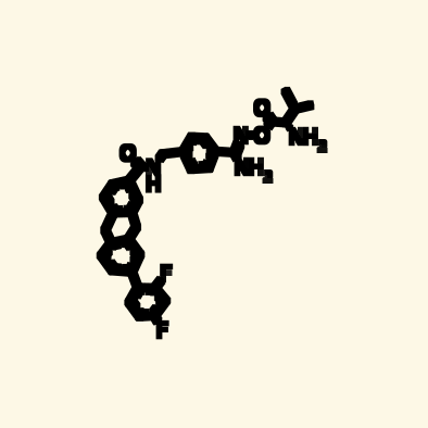 CC(C)[C@H](N)C(=O)ON=C(N)c1ccc(CNC(=O)c2ccc3c(c2)Cc2cc(-c4ccc(F)cc4F)ccc2C3)cc1